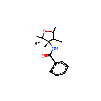 CC1O[C@@](C)(C(C)C)[C@@](C)(NC(=O)c2ccccc2)C1C